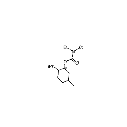 CCN(CC)C(=O)O[C@@H]1CC(C)CCC1C(C)C